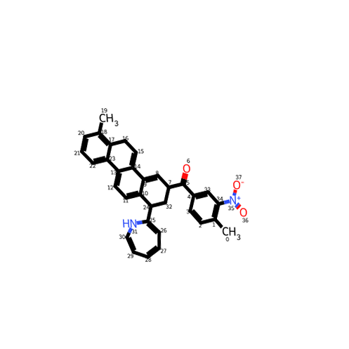 Cc1ccc(C(=O)C2C=c3c(ccc4c3=CCc3c(C)cccc3-4)C(C3=CC=CC=CN3)C2)cc1[N+](=O)[O-]